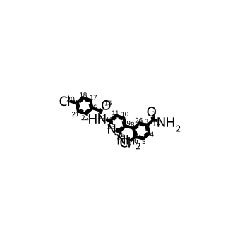 NC(=O)c1ccc(Cl)c(-c2ccc(NC(=O)c3ccc(Cl)cc3)nc2N)c1